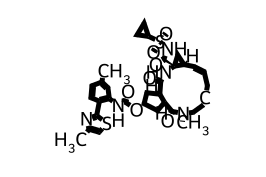 Cc1ccc(-c2nc(C)cs2)c(NC(=O)O[C@@H]2C[C@H]3C(=O)N[C@]4(C(=O)NS(=O)(=O)C5CC5)C[C@H]4/C=C\CCCCN(C)C(=O)[C@@H]3C2)c1